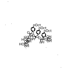 CCCCCCCCc1ccc(OC(=O)CCC)cc1.CCCCCCCCc1ccc(OC(=O)CCC)cc1.CCCCCCCCc1ccc(OC(=O)CCC)cc1.OP(O)(O)=S.OP(O)(O)=S.OP(O)(O)=S